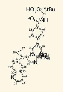 CC(C)(C)[C@H](NC(=O)c1ccc(-c2cnc3ncc(C4(c5ccc6ncccc6c5)CC4)n3c2)cc1)C(=O)O.Cl.Cl